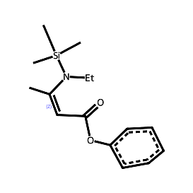 CCN(/C(C)=C\C(=O)Oc1ccccc1)[Si](C)(C)C